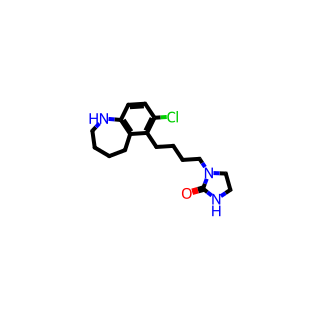 O=C1NCCN1CCCCc1c(Cl)ccc2c1CCCCN2